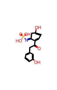 O=C(Cc1cccc(O)c1)C1=CC=C(O)CC1=NP(=O)(O)O